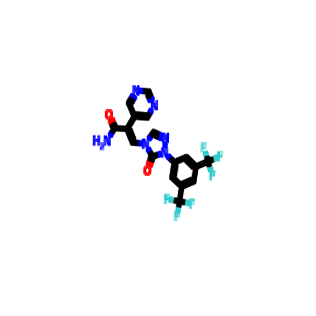 NC(=O)/C(=C/n1cnn(-c2cc(C(F)(F)F)cc(C(F)(F)F)c2)c1=O)c1cncnc1